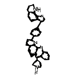 C1=Cc2ccc3c(-c4ccc(-c5ccc6ccc7c(C8=CCNC=C8)c8ccccc8nc7c6n5)cc4)ccnc3c2NC1